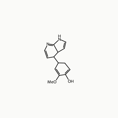 COC1=CC(C2C=CN=C3NC=CC32)CC=C1O